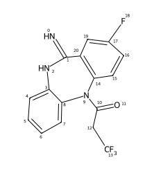 N=C1Nc2ccccc2N(C(=O)CC(F)(F)F)c2ccc(F)cc21